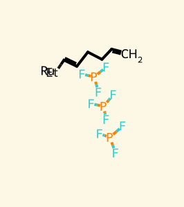 C=CCCC=CCC.FP(F)F.FP(F)F.FP(F)F.[Ru]